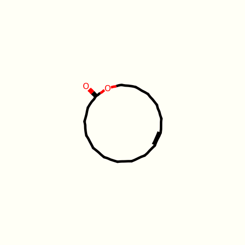 O=C1CCCCCCCCC=CCCCCCO1